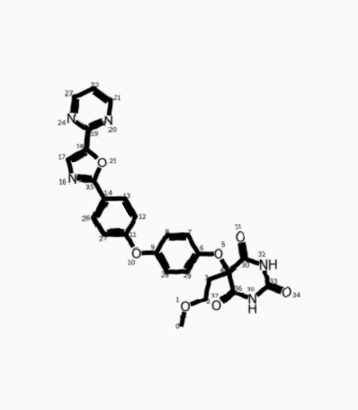 COCCC1(Oc2ccc(Oc3ccc(-c4ncc(-c5ncccn5)o4)cc3)cc2)C(=O)NC(=O)NC1=O